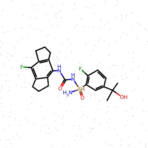 CC(C)(O)c1ccc(F)c([SH](N)(=O)NC(=O)Nc2c3c(c(F)c4c2CCC4)CCC3)c1